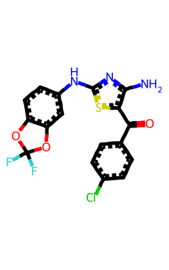 Nc1nc(Nc2ccc3c(c2)OC(F)(F)O3)sc1C(=O)c1ccc(Cl)cc1